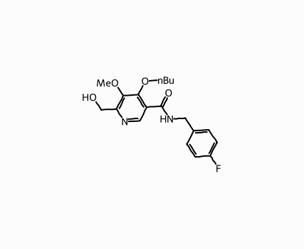 CCCCOc1c(C(=O)NCc2ccc(F)cc2)cnc(CO)c1OC